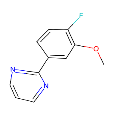 COc1cc(-c2ncccn2)ccc1F